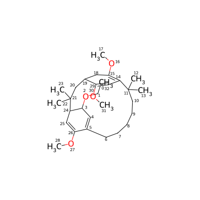 CCOC1C=C2CCCCCC(C)(C)C3=C(OC)CC(CC(C)(C)C1C=C2OC)C(OC)=C3